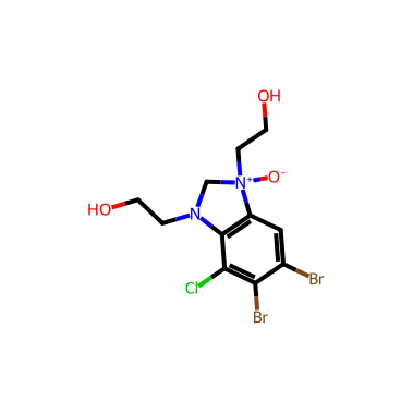 [O-][N+]1(CCO)CN(CCO)c2c1cc(Br)c(Br)c2Cl